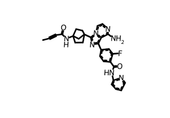 CC#CC(=O)NC12CCC(c3nc(-c4ccc(C(=O)Nc5ccccn5)c(F)c4)c4c(N)nccn34)(CC1)C2